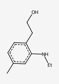 CCNc1cc(C)ccc1CCO